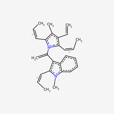 C=Cc1c(C)c(/C=C\C)n(C(=C)c2c(/C=C\C)n(C)c3ccccc23)c1/C=C\C